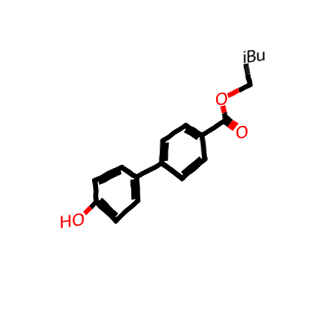 CCC(C)COC(=O)c1ccc(-c2ccc(O)cc2)cc1